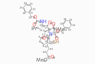 CNC(=O)[C@@](Cc1ccccc1)(C(=O)[C@H](CC(C)C)NC(=O)OCc1ccccc1)N(C(=O)OCc1ccccc1)C(=O)C(S)CCCC(=O)OC